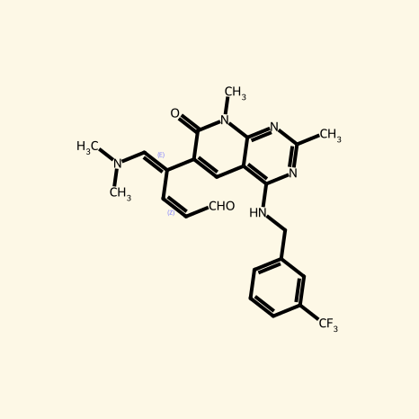 Cc1nc(NCc2cccc(C(F)(F)F)c2)c2cc(C(/C=C\C=O)=C/N(C)C)c(=O)n(C)c2n1